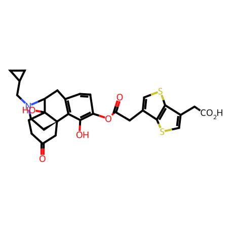 O=C(O)Cc1csc2c(CC(=O)Oc3ccc4c(c3O)[C@@]35CCN(CC6CC6)C(C4)C3(O)CCC(=O)C5)csc12